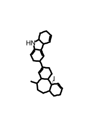 CC1CCC2CCC=C[C@]2(I)C2CCC(C3C=C4C(=CC3)NC3CCC=CC43)=CC12